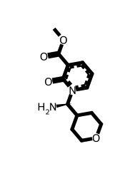 COC(=O)c1cccn([C@H](N)C2CCOCC2)c1=O